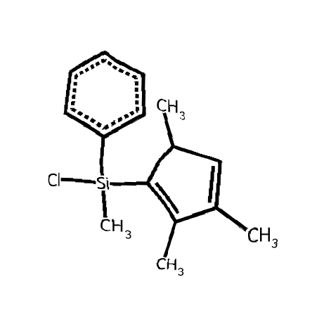 CC1=CC(C)C([Si](C)(Cl)c2ccccc2)=C1C